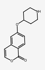 O=c1occc2cc(OC3CCNCC3)ccc12